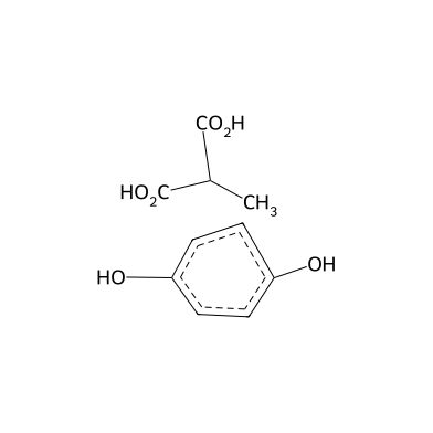 CC(C(=O)O)C(=O)O.Oc1ccc(O)cc1